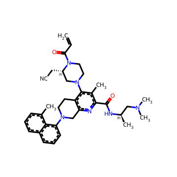 C=CC(=O)N1CCN(c2c(C)c(C(=O)N[C@H](C)CN(C)C)nc3c2CCN(c2cccc4cccc(C)c24)C3)C[C@@H]1CC#N